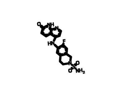 NS(=O)(=O)N1CCc2cc(Nc3ccnc4[nH]c(=O)ccc34)c(F)cc2C1